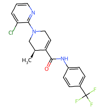 C[C@H]1CN(c2ncccc2Cl)CC=C1C(=O)Nc1ccc(C(F)(F)F)cc1